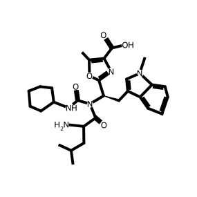 Cc1oc([C@@H](Cc2cn(C)c3ccccc23)N(C(=O)NC2CCCCC2)C(=O)C(N)CC(C)C)nc1C(=O)O